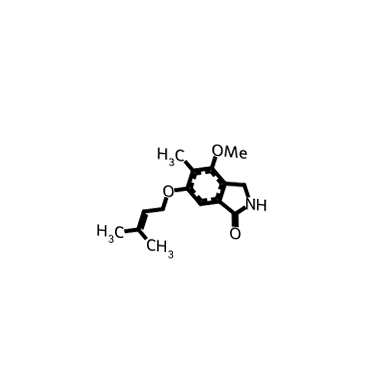 COc1c(C)c(OCC=C(C)C)cc2c1CNC2=O